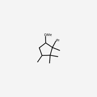 COC1CC(C)C(C)(C)C1(C)C(C)C